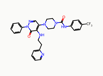 O=C(Nc1ccc(C(F)(F)F)cc1)N1CCN(c2cnn(-c3ccccc3)c(=O)c2NCCc2ccccn2)CC1